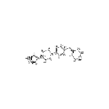 c1cc(C2CCN(c3cn[nH]c3)CC2)ccc1CN1CCOCC1